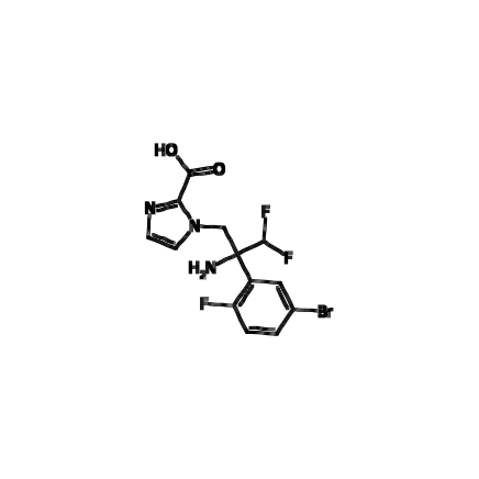 NC(Cn1ccnc1C(=O)O)(c1cc(Br)ccc1F)C(F)F